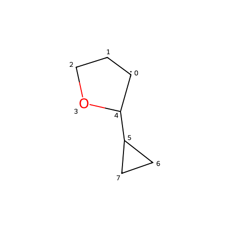 [CH]1CCOC1C1CC1